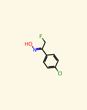 ON=C(CF)c1ccc(Cl)cc1